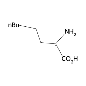 CCCCCC[C](N)C(=O)O